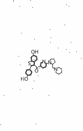 O=C(c1ccc(N2CCCC2CN2CCCCC2)nc1)c1c(-c2ccc(O)cc2)sc2cc(O)ccc12